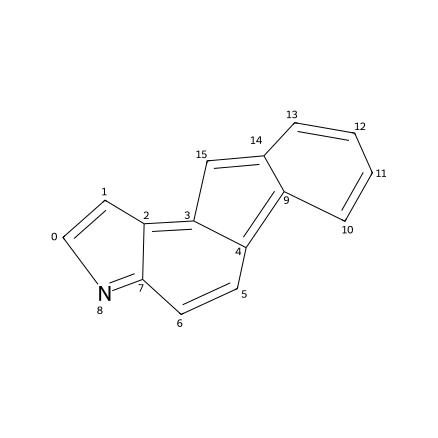 C1=Cc2c3c(ccc2=N1)=c1ccccc1=C3